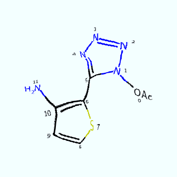 CC(=O)On1nnnc1-c1sccc1N